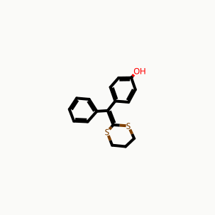 Oc1ccc(C(=C2SCCCS2)c2ccccc2)cc1